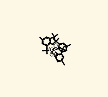 Cc1ccc(P(O)(O)(Oc2c(C(C)(C)C)cc(C)cc2C(C)(C)C)c2ccc(C)cc2C(C)(C)C)c(C(C)(C)C)c1